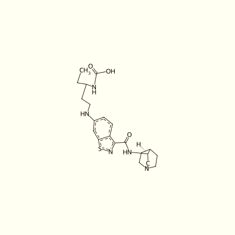 CCC(CCNc1ccc2c(C(=O)N[C@@H]3CN4CCC3CC4)nsc2c1)NC(=O)O